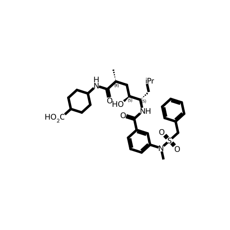 CC(C)C[C@H](NC(=O)c1cccc(N(C)S(=O)(=O)Cc2ccccc2)c1)[C@@H](O)C[C@@H](C)C(=O)NC1CCC(C(=O)O)CC1